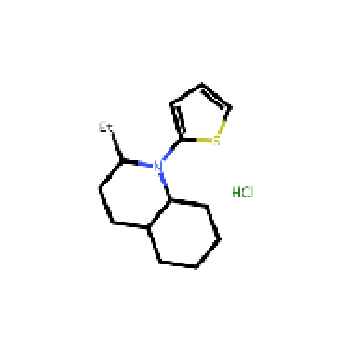 CCC1CCC2CCCCC2N1c1cccs1.Cl